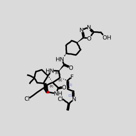 C=C(Cl)/N=C\C=C(/F)[C@H]1[C@H](C(=O)N[C@H]2CC[C@H](c3nnc(CO)o3)CC2)NC2(CCC(C)(C)CC2)[C@@]12C(=O)Nc1cc(Cl)ccc12